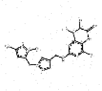 Cc1nc(NCc2cnn(Cc3cc(C(F)(F)F)nn3C)c2)nc2c1NC(=O)C(C(C)C)N2C